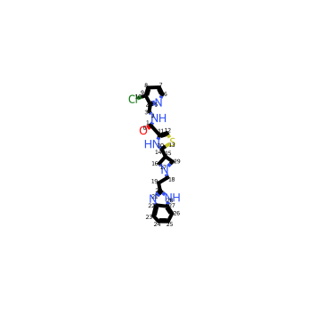 O=C(NCc1ncccc1Cl)C1=CSC(C2CN(CCc3nc4ccccc4[nH]3)C2)N1